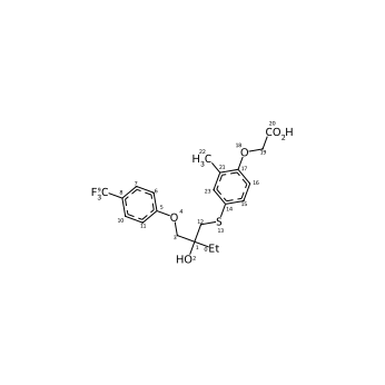 CCC(O)(COc1ccc(C(F)(F)F)cc1)CSc1ccc(OCC(=O)O)c(C)c1